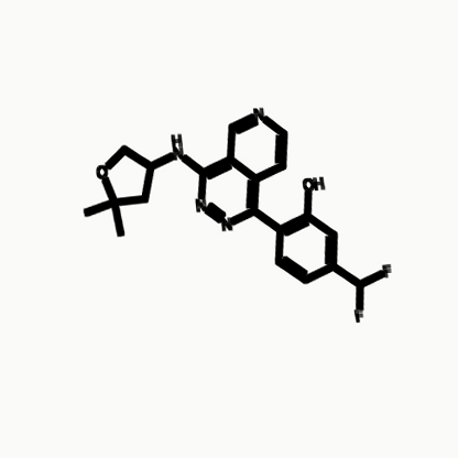 CC1(C)CC(Nc2nnc(-c3ccc(C(F)F)cc3O)c3ccncc23)CO1